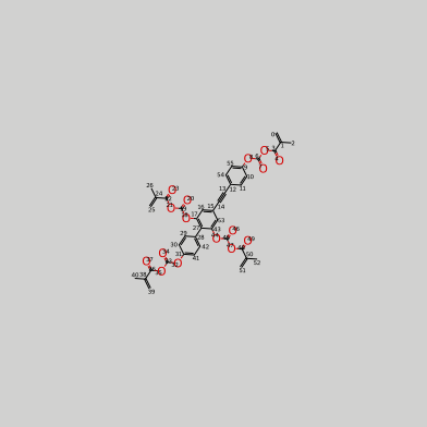 C=C(C)C(=O)OC(=O)Oc1ccc(C#Cc2cc(OC(=O)OC(=O)C(=C)C)c(-c3ccc(OC(=O)OC(=O)C(=C)C)cc3)c(OC(=O)OC(=O)C(=C)C)c2)cc1